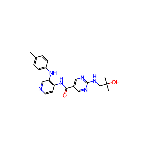 Cc1ccc(Nc2cnccc2NC(=O)c2cnc(NCC(C)(C)O)nc2)cc1